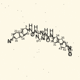 Cc1nc(NC(=O)Nc2ccc3c(c2)Cc2cc(C#N)ccc2-3)nc(NC(=O)Nc2ccc3c(c2)Cc2cc(N=C=O)ccc2-3)n1